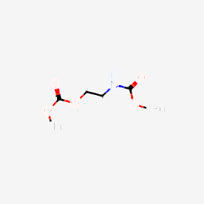 CC(C)OC(=O)OCCNC(=O)OC(C)(C)C